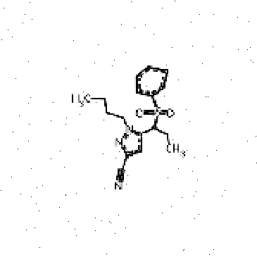 CCCCn1nc(C#N)cc1C(CC)S(=O)(=O)c1ccccc1